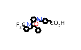 O=C(O)Cc1ccc(CNc2cccc(-c3nc4c(C(F)(F)F)cccc4cc3C(=O)c3ccccc3)c2)cc1